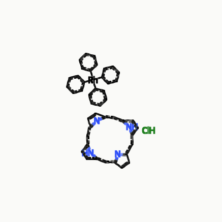 C1=Cc2cc3ccc(cc4nc(cc5ccc(cc1n2)[nH]5)C=C4)[nH]3.Cl.c1cc[c]([Rh]([c]2ccccc2)([c]2ccccc2)[c]2ccccc2)cc1